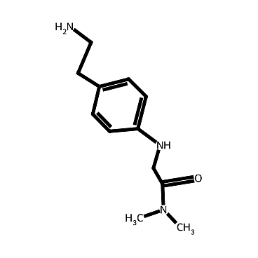 CN(C)C(=O)CNc1ccc(CCN)cc1